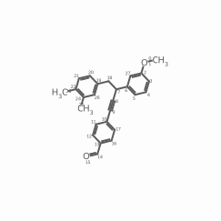 COc1cccc(C(C#Cc2ccc(C=O)cc2)Cc2ccc(C)c(C)c2)c1